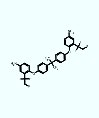 Nc1ccc(Oc2ccc(C(c3ccc(Oc4ccc(N)cc4C(F)(F)CF)cc3)(C(F)(F)F)C(F)(F)F)cc2)c(C(F)(F)CF)c1